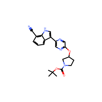 CC(C)(C)OC(=O)N1CCC(Oc2cnc(-c3c[nH]c4c(C#N)cccc34)cn2)C1